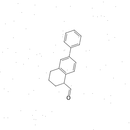 O=CC1CCCc2cc(-c3ccccc3)ccc21